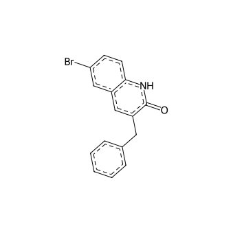 O=c1[nH]c2ccc(Br)cc2cc1Cc1ccccc1